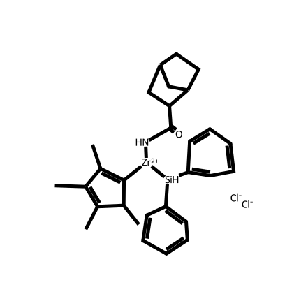 CC1=C(C)C(C)[C]([Zr+2]([NH]C(=O)C2CC3CCC2C3)[SiH](c2ccccc2)c2ccccc2)=C1C.[Cl-].[Cl-]